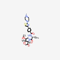 CCO[C@H]1CN(C(=O)[C@@H](NC(=O)c2ccc(-c3csc(N4CCN(C)CC4)n3)cc2)C(C)(C)C)[C@@H]2C(=O)CO[C@H]12